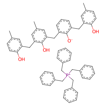 Cc1ccc(O)c(Cc2cccc(Cc3cc(C)cc(Cc4cc(C)ccc4O)c3O)c2[O-])c1.c1ccc(C[P+](Cc2ccccc2)(Cc2ccccc2)Cc2ccccc2)cc1